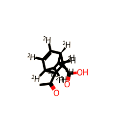 [2H]C1=C([2H])[C@]2([2H])[C@H](C(=O)O)[C@@H](C(C)=O)C1([2H])C([2H])([2H])C2([2H])[2H]